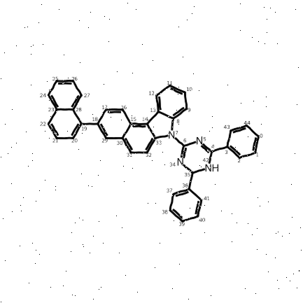 c1ccc(C2=NC(n3c4ccccc4c4c5ccc(-c6cccc7ccccc67)cc5ccc43)=NC(c3ccccc3)N2)cc1